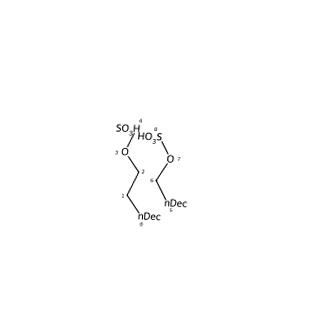 CCCCCCCCCCCCOS(=O)(=O)O.CCCCCCCCCCCOS(=O)(=O)O